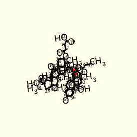 CC1(C)[C@@H](OC(=O)CCC(=O)O)CC[C@]2(C)[C@H]3C(=O)C=C4[C@@H]5C[C@@](C)(C(=O)O)CC[C@]5(C)CC[C@@]4(C)[C@]3(C)CC[C@@H]12.CCC[C@@H]1O[C@@H]2C[C@H]3[C@@H]4CCC5=CC(=O)C=C[C@]5(C)[C@H]4[C@@H](O)C[C@]3(C)[C@]2(C(=O)CO)O1